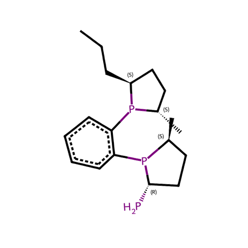 CCC[C@H]1CC[C@H](C)P1c1ccccc1P1[C@@H](C)CC[C@@H]1P